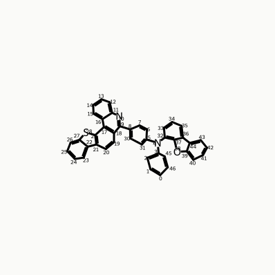 c1ccc(N(c2ccc(-c3nc4ccccc4c4c3ccc3c5ccccc5sc34)cc2)c2cccc3c2oc2ccccc23)cc1